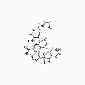 O=C1Nc2ccc(S(=O)(=O)NC3CCNCC3)cc2/C1=C(/Nc1ccc(CN2CCCC2)cc1)c1ccccc1